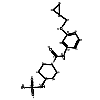 CC(C)S(=O)(=O)N[C@H]1CC[C@H](C(=O)Nc2cccc(OCC3CC3)c2)CC1